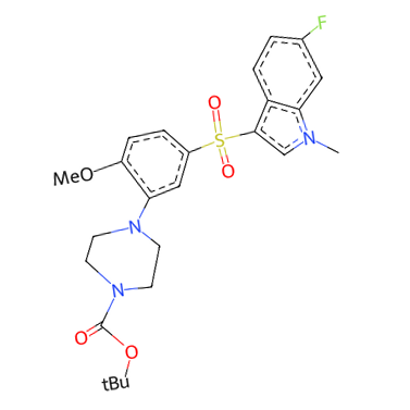 COc1ccc(S(=O)(=O)c2cn(C)c3cc(F)ccc23)cc1N1CCN(C(=O)OC(C)(C)C)CC1